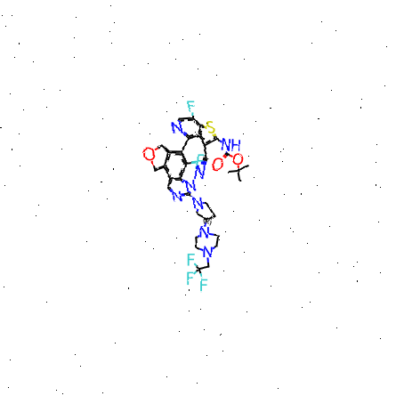 CC(C)(C)OC(=O)Nc1sc2c(F)cnc(-c3c4c(c5cnc(N6CC[C@@H](N7CCN(CC(F)(F)F)CC7)C6)nc5c3F)COC4)c2c1C#N